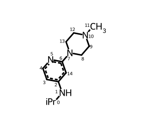 CC(C)Nc1ccnc(N2CCN(C)CC2)c1